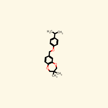 CC(C)c1ccc(OCc2ccc3c(c2)OCC(C)(C)CO3)cc1